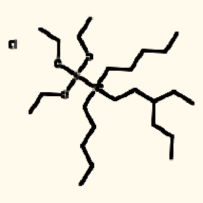 CCCCC[N+](CCCCC)(CCC(CC)CCC)[Si](OCC)(OCC)OCC.[Cl-]